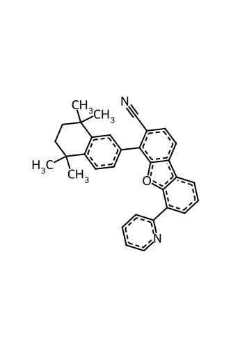 CC1(C)CCC(C)(C)c2cc(-c3c(C#N)ccc4c3oc3c(-c5ccccn5)cccc34)ccc21